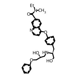 CCN(C)C(=O)c1ccc2c(Oc3ccc(C[C@@H](CO)NC[C@H](O)COc4ccccc4)cc3)ccnc2c1